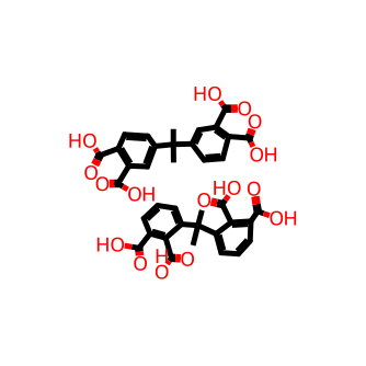 CC(C)(c1ccc(C(=O)O)c(C(=O)O)c1)c1ccc(C(=O)O)c(C(=O)O)c1.CC(C)(c1cccc(C(=O)O)c1C(=O)O)c1cccc(C(=O)O)c1C(=O)O